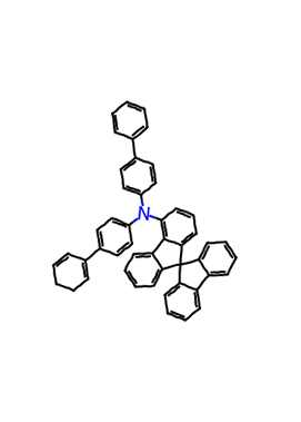 C1=CC(c2ccc(N(c3ccc(-c4ccccc4)cc3)c3cccc4c3-c3ccccc3C43c4ccccc4-c4ccccc43)cc2)=CCC1